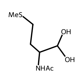 CSCCC(NC(C)=O)C(O)O